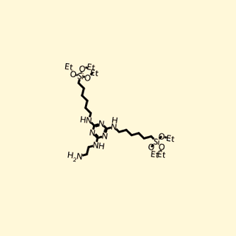 CCO[Si](CCCCCCNc1nc(NCCN)nc(NCCCCCC[Si](OCC)(OCC)OCC)n1)(OCC)OCC